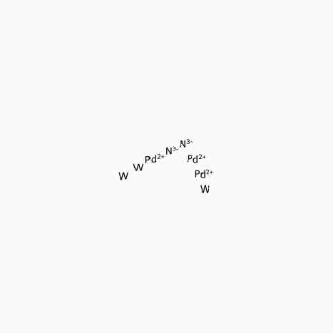 [N-3].[N-3].[Pd+2].[Pd+2].[Pd+2].[W].[W].[W]